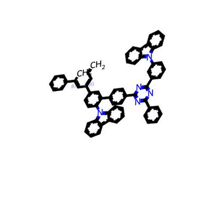 C=C/C=C(\C=C(/C)c1ccccc1)c1ccc(-n2c3ccccc3c3ccccc32)c(-c2ccc(-c3nc(-c4ccccc4)nc(-c4cccc(-n5c6ccccc6c6ccccc65)c4)n3)cc2)c1